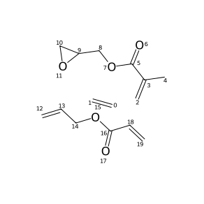 C=C.C=C(C)C(=O)OCC1CO1.C=CCOC(=O)C=C